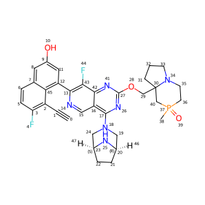 C#Cc1c(F)ccc2cc(O)cc(-c3ncc4c(N5C[C@H]6CC[C@@H](C5)N6)nc(OCC56CCCN5CCP(C)(=O)C6)nc4c3F)c12